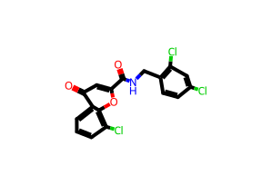 O=C(NCc1ccc(Cl)cc1Cl)c1cc(=O)c2cccc(Cl)c2o1